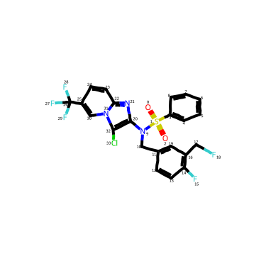 O=S(=O)(c1ccccc1)N(Cc1ccc(F)c(CF)c1)c1nc2ccc(C(F)(F)F)cn2c1Cl